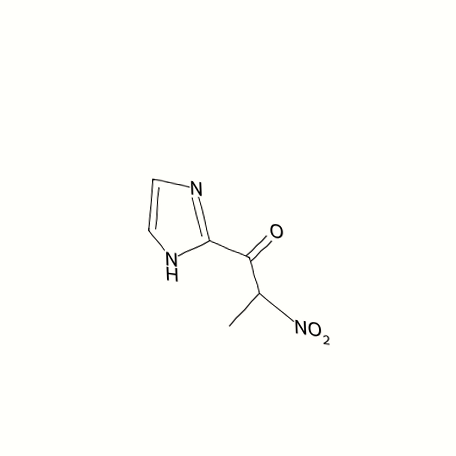 CC(C(=O)c1ncc[nH]1)[N+](=O)[O-]